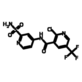 NS(=O)(=O)c1cc(NC(=O)c2cc(C(F)(F)F)cnc2Cl)ccn1